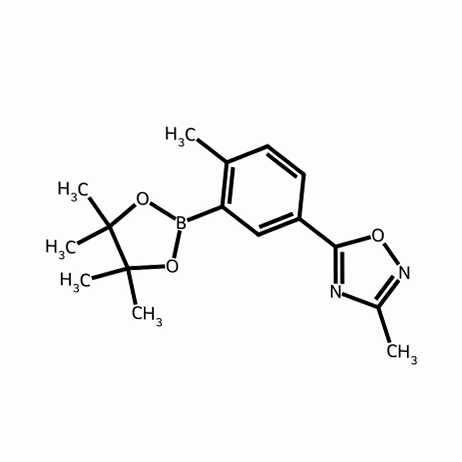 Cc1noc(-c2ccc(C)c(B3OC(C)(C)C(C)(C)O3)c2)n1